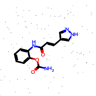 NC(=O)Oc1ccccc1NC(=O)C=Cc1cn[nH]c1